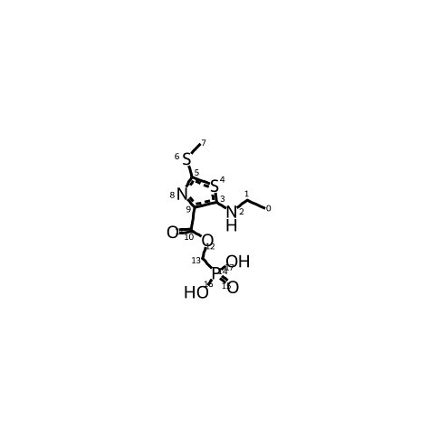 CCNc1sc(SC)nc1C(=O)OCP(=O)(O)O